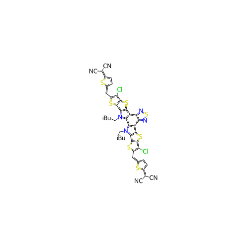 CCC(C)Cn1c2c3sc(/C=c4\ccc(=C(C#N)C#N)s4)c(Cl)c3sc2c2c3nsnc3c3c4sc5c(Cl)c(/C=c6\ccc(=C(C#N)C#N)s6)sc5c4n(CC(C)CC)c3c21